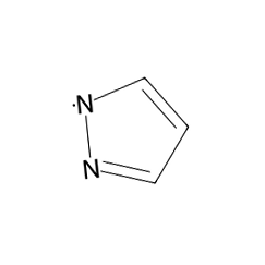 C1=C[N]N=C1